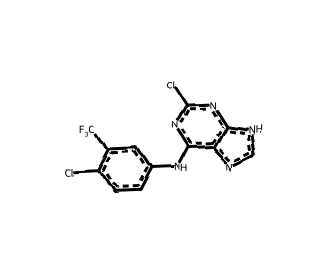 FC(F)(F)c1cc(Nc2nc(Cl)nc3[nH]cnc23)ccc1Cl